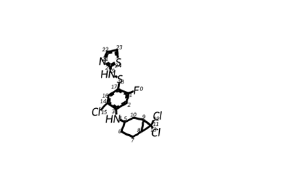 Fc1cc(NC2CCC3C(C2)C3(Cl)Cl)c(Cl)cc1SNc1nccs1